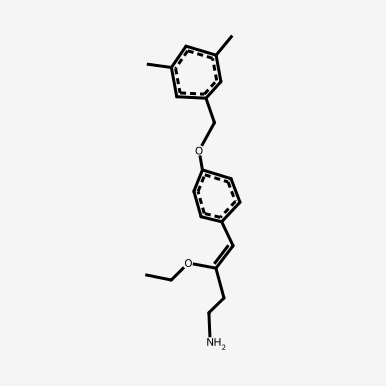 CCOC(=Cc1ccc(OCc2cc(C)cc(C)c2)cc1)CCN